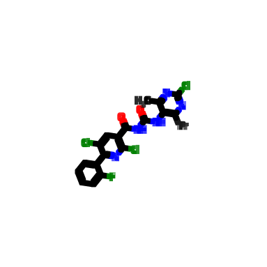 Cc1nc(Cl)nc(C(C)C)c1NC(=O)NC(=O)c1cc(Cl)c(-c2ccccc2F)nc1Cl